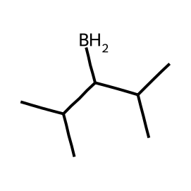 BC(C(C)C)C(C)C